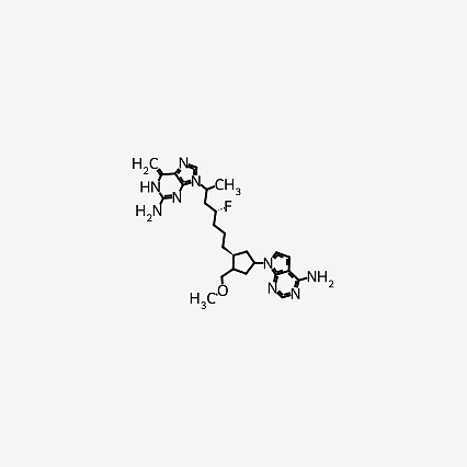 C=C1NC(N)=Nc2c1ncn2C(C)C[C@H](F)CCC[C@H]1CC(n2ccc3c(N)ncnc32)CC1COC